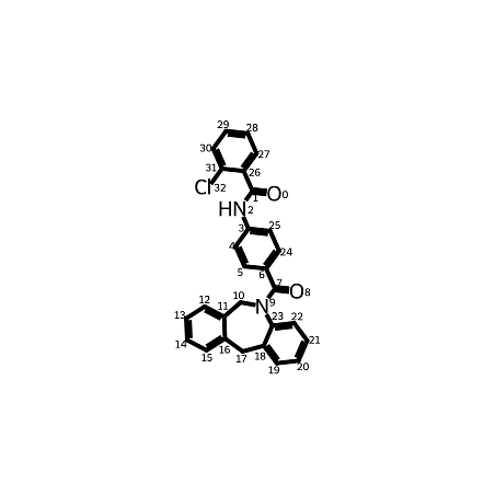 O=C(Nc1ccc(C(=O)N2Cc3ccccc3Cc3ccccc32)cc1)c1ccccc1Cl